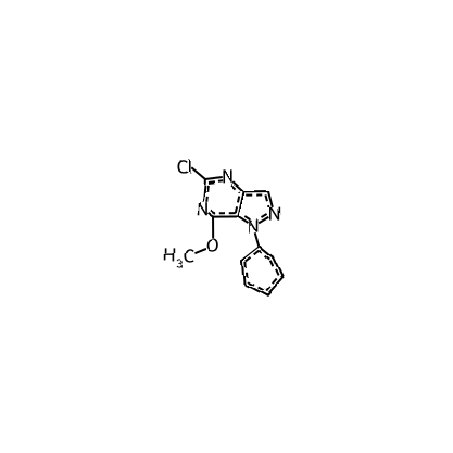 COc1nc(Cl)nc2cnn(-c3ccccc3)c12